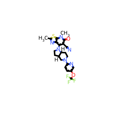 Cc1nc2c(N3CC[C@H]4CN(c5ccc(OC(F)(F)F)cn5)CC[C@H]43)c(C#N)c(=O)n(C)c2s1